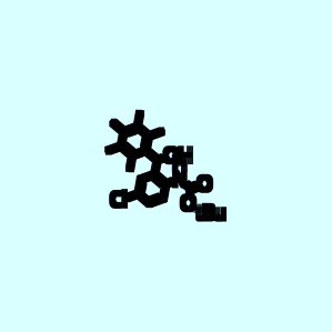 Cc1c(C)c(C)c(C(O)c2cc(Cl)ccc2NC(=O)OC(C)(C)C)c(C)c1C